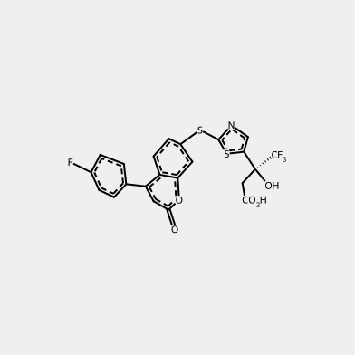 O=C(O)C[C@](O)(c1cnc(Sc2ccc3c(-c4ccc(F)cc4)cc(=O)oc3c2)s1)C(F)(F)F